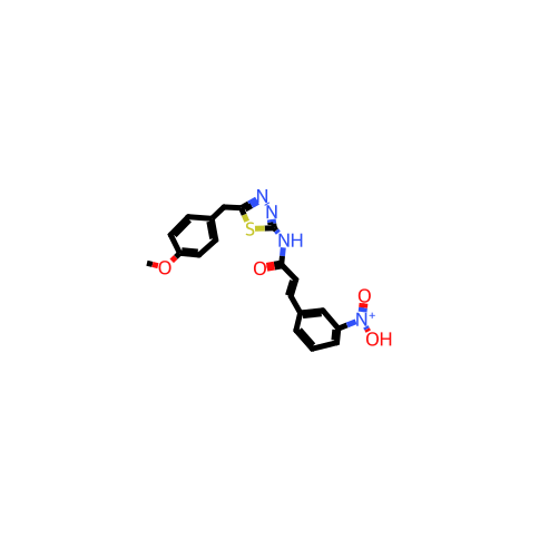 COc1ccc(Cc2nnc(NC(=O)/C=C/c3cccc([N+](=O)O)c3)s2)cc1